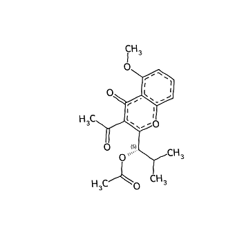 COc1cccc2oc([C@@H](OC(C)=O)C(C)C)c(C(C)=O)c(=O)c12